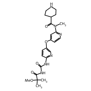 COC(C)(C)C(=O)NC(=O)Nc1ccc(Oc2ccnc(N(C)C(=O)C3CCNCC3)c2)cn1